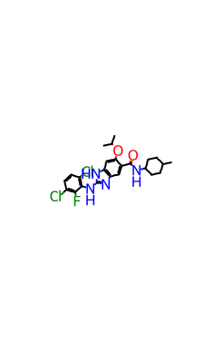 CC1CCC(NC(=O)c2cc3nc(Nc4c(Cl)ccc(Cl)c4F)[nH]c3cc2OC(C)C)CC1